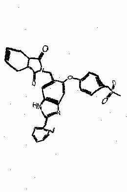 CS(=O)(=O)c1ccc(Oc2cc3nc(-c4ccccn4)[nH]c3cc2CN2C(=O)C3CC=CCC3C2=O)cc1